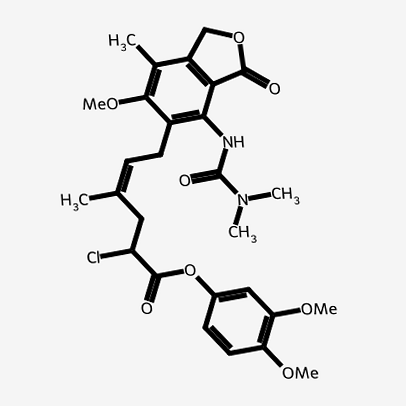 COc1ccc(OC(=O)C(Cl)CC(C)=CCc2c(NC(=O)N(C)C)c3c(c(C)c2OC)COC3=O)cc1OC